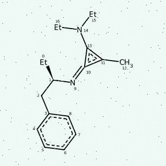 CC[C@H](Cc1ccccc1)/N=c1/c(C)c1N(CC)CC